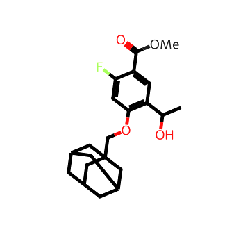 COC(=O)c1cc(C(C)O)c(OCC23CC4CC(CC(C4)C2)C3)cc1F